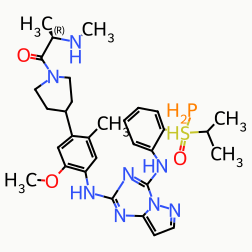 CN[C@H](C)C(=O)N1CCC(c2cc(OC)c(Nc3nc(Nc4ccccc4[SH](=O)(P)C(C)C)n4nccc4n3)cc2C)CC1